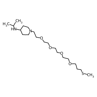 CSCCCOCCOCCOCCOCCN1CCC(NC(C)C)CC1